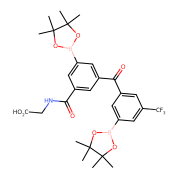 CC1(C)OB(c2cc(C(=O)NCC(=O)O)cc(C(=O)c3cc(B4OC(C)(C)C(C)(C)O4)cc(C(F)(F)F)c3)c2)OC1(C)C